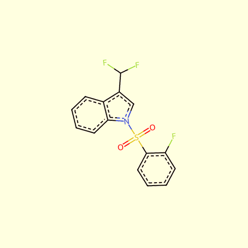 O=S(=O)(c1ccccc1F)n1cc(C(F)F)c2ccccc21